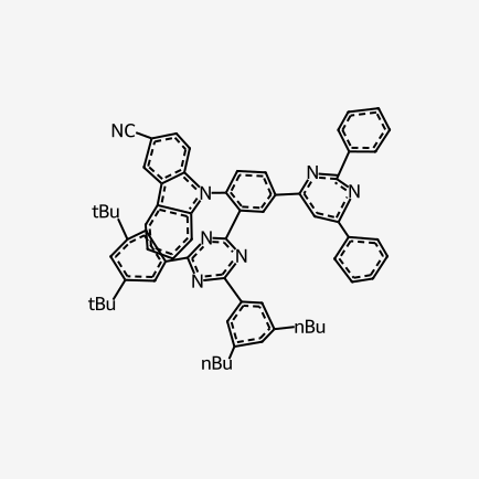 CCCCc1cc(CCCC)cc(-c2nc(-c3cc(C(C)(C)C)cc(C(C)(C)C)c3)nc(-c3cc(-c4cc(-c5ccccc5)nc(-c5ccccc5)n4)ccc3-n3c4ccccc4c4cc(C#N)ccc43)n2)c1